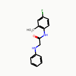 O=C(CNc1ccccc1)Nc1ccc(F)cc1C(=O)O